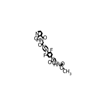 CCOC(=O)NC[C@H]1CN(c2cc(F)c(N3CCN(C(=O)CNC(=O)c4cccnc4Cl)CC3)c(F)c2)C(=O)O1